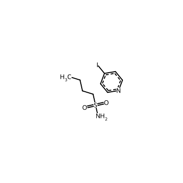 CCCCS(N)(=O)=O.Ic1ccncc1